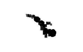 N.O=C(Nc1cc(-c2nc3ccccc3[nH]2)[nH]n1)c1ccc(N2CCC(C(=O)O)CC2)nc1